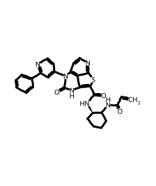 C=CC(=O)NC1CCCC[C@H]1NC(=O)c1sc2nccc3c2c1NC(=O)N3c1ccnc(-c2ccccc2)c1